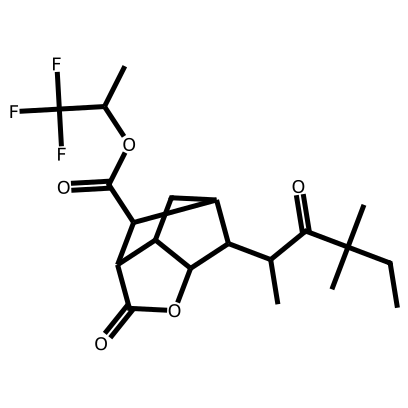 CCC(C)(C)C(=O)C(C)C1C2CC3C1OC(=O)C3C2C(=O)OC(C)C(F)(F)F